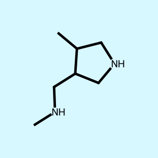 CNCC1CNCC1C